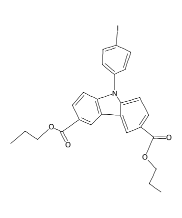 CCCOC(=O)c1ccc2c(c1)c1cc(C(=O)OCCC)ccc1n2-c1ccc(I)cc1